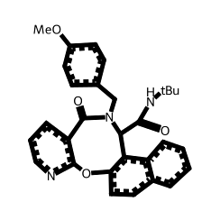 COc1ccc(CN2C(=O)c3cccnc3Oc3ccc4ccccc4c3C2C(=O)NC(C)(C)C)cc1